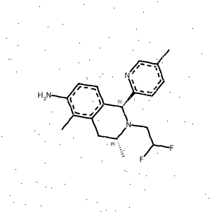 Cc1ccc([C@@H]2c3ccc(N)c(C)c3C[C@@H](C)N2CC(F)F)nc1